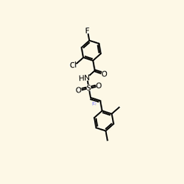 Cc1ccc(/C=C/S(=O)(=O)NC(=O)c2ccc(F)cc2Cl)c(C)c1